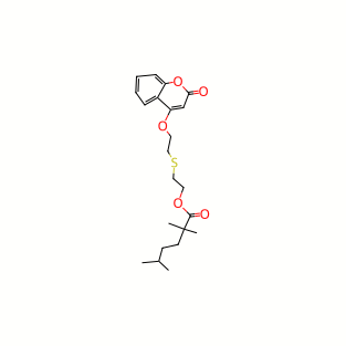 CC(C)CCC(C)(C)C(=O)OCCSCCOc1cc(=O)oc2ccccc12